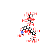 Cc1cc2c(c(O)c1C(=O)NCC(=O)O)-c1c(cc3c(c1O)C(=O)c1cc(O[C@H]4OC[C@H](O)[C@@H](O)[C@@H]4O)cc(O)c1C3=O)[C@H](O)[C@H]2O[C@@H]1O[C@H](C)[C@H](O)[C@H](O[C@@H]2OC[C@@H](O)[C@H](O)[C@H]2O)[C@H]1O